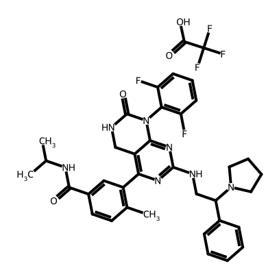 Cc1ccc(C(=O)NC(C)C)cc1-c1nc(NCC(c2ccccc2)N2CCCC2)nc2c1CNC(=O)N2c1c(F)cccc1F.O=C(O)C(F)(F)F